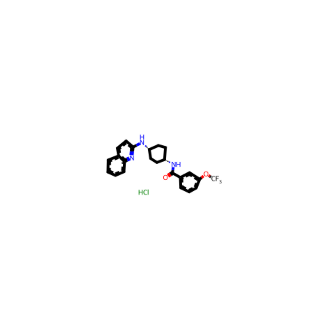 Cl.O=C(N[C@H]1CC[C@@H](Nc2ccc3ccccc3n2)CC1)c1cccc(OC(F)(F)F)c1